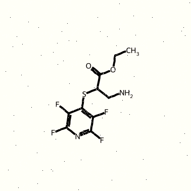 CCOC(=O)C(CN)Sc1c(F)c(F)nc(F)c1F